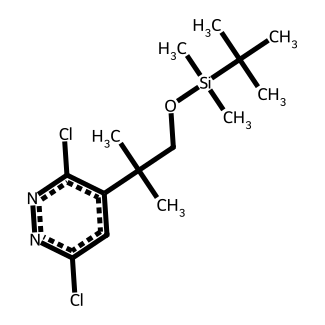 CC(C)(CO[Si](C)(C)C(C)(C)C)c1cc(Cl)nnc1Cl